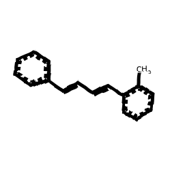 Cc1ccccc1C=CC=Cc1ccccc1